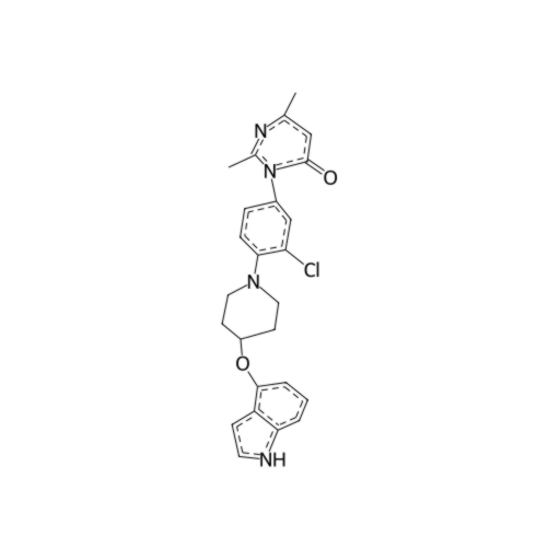 Cc1cc(=O)n(-c2ccc(N3CCC(Oc4cccc5[nH]ccc45)CC3)c(Cl)c2)c(C)n1